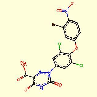 O=C(O)c1nn(-c2cc(Cl)c(Oc3ccc([N+](=O)[O-])c(Br)c3)c(Cl)c2)c(=O)[nH]c1=O